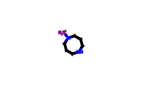 PN1CCCNCCC1